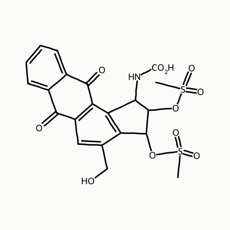 CS(=O)(=O)OC1c2c(CO)cc3c(c2C(NC(=O)O)C1OS(C)(=O)=O)C(=O)c1ccccc1C3=O